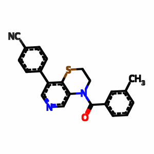 Cc1cccc(C(=O)N2CCSc3c(-c4ccc(C#N)cc4)cncc32)c1